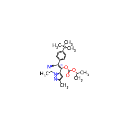 CCn1nc(C)cc1/C(OC(=O)OC(C)C)=C(\C#N)c1ccc([Si](C)(C)C)cc1